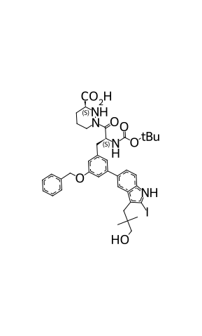 CC(C)(CO)Cc1c(I)[nH]c2ccc(-c3cc(C[C@H](NC(=O)OC(C)(C)C)C(=O)N4CCC[C@@H](C(=O)O)N4)cc(OCc4ccccc4)c3)cc12